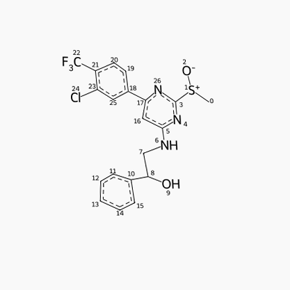 C[S+]([O-])c1nc(NCC(O)c2ccccc2)cc(-c2ccc(C(F)(F)F)c(Cl)c2)n1